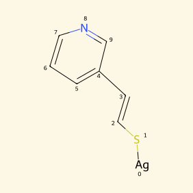 [Ag][S]C=Cc1cccnc1